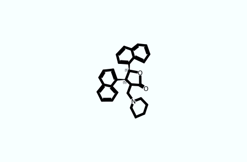 O=C1O[C@H](c2cccc3ccccc23)[C@H](c2cccc3ccccc23)C1CN1CCCCC1